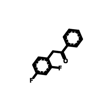 O=C(Cc1ccc(F)cc1F)c1ccccc1